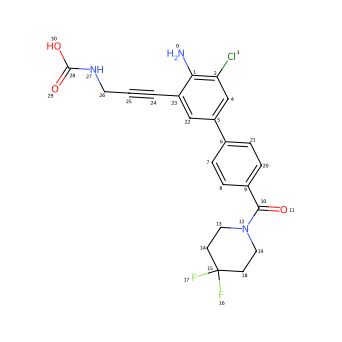 Nc1c(Cl)cc(-c2ccc(C(=O)N3CCC(F)(F)CC3)cc2)cc1C#CCNC(=O)O